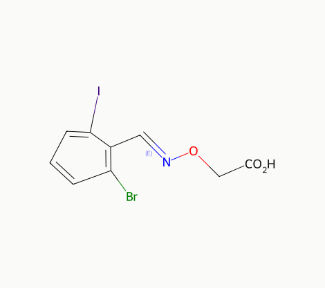 O=C(O)CO/N=C/c1c(Br)cccc1I